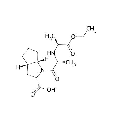 CCOC(=O)[C@H](C)N[C@@H](C)C(=O)N1[C@H](C(=O)O)C[C@@H]2CCC[C@@H]21